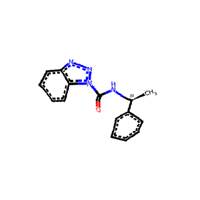 C[C@H](NC(=O)n1nnc2ccccc21)c1ccccc1